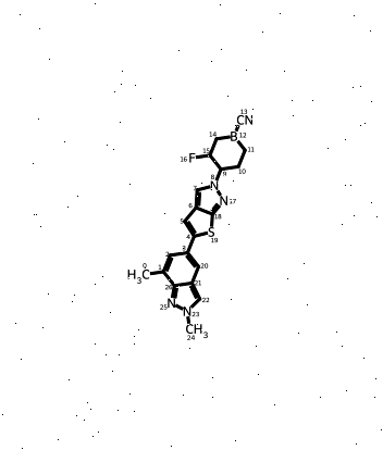 Cc1cc(-c2cc3cn(C4CCB(C#N)CC4F)nc3s2)cc2cn(C)nc12